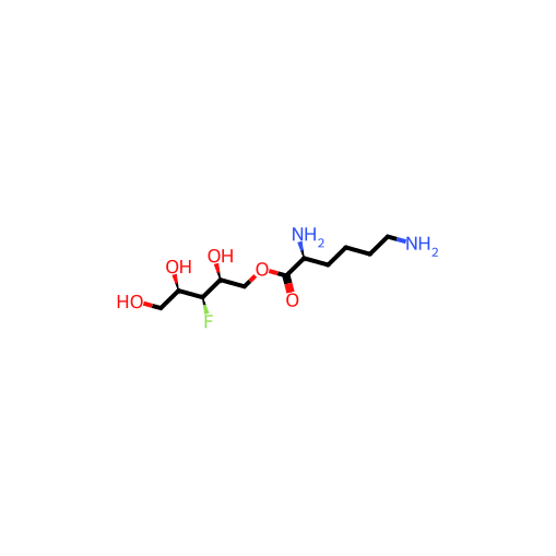 NCCCC[C@H](N)C(=O)OC[C@H](O)[C@@H](F)[C@H](O)CO